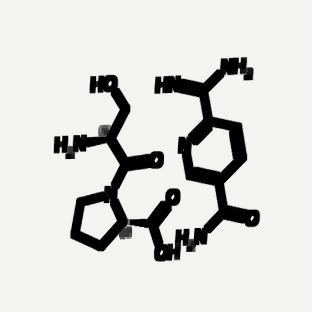 N=C(N)c1ccc(C(N)=O)cn1.N[C@@H](CO)C(=O)N1CCC[C@H]1C(=O)O